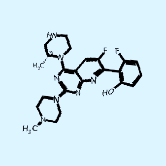 C[C@@H]1CNCCN1c1nc(N2CCN(C)CC2)nc2nc(-c3c(O)cccc3F)c(F)cc12